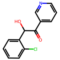 O=C(c1cccnc1)C(O)c1ccccc1Cl